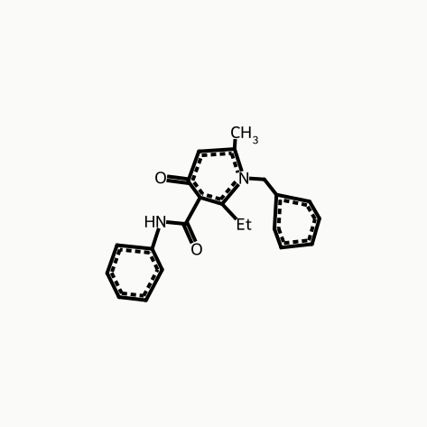 CCc1c(C(=O)Nc2ccccc2)c(=O)cc(C)n1Cc1ccccc1